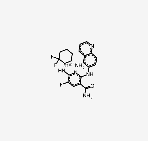 NC(=O)c1cc(F)c(N[C@H]2[C@@H](N)CCCC2(F)F)nc1Nc1ccc2ncccc2c1